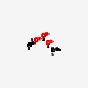 [Al+3].[Er+3].[O-2].[O-2].[O-2]